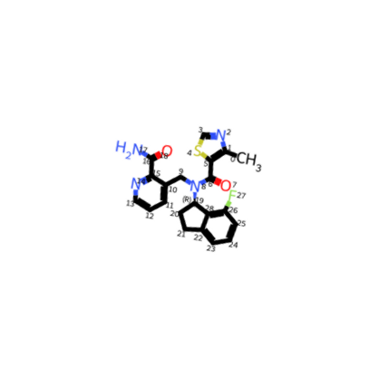 Cc1ncsc1C(=O)N(Cc1cccnc1C(N)=O)[C@@H]1CCc2cccc(F)c21